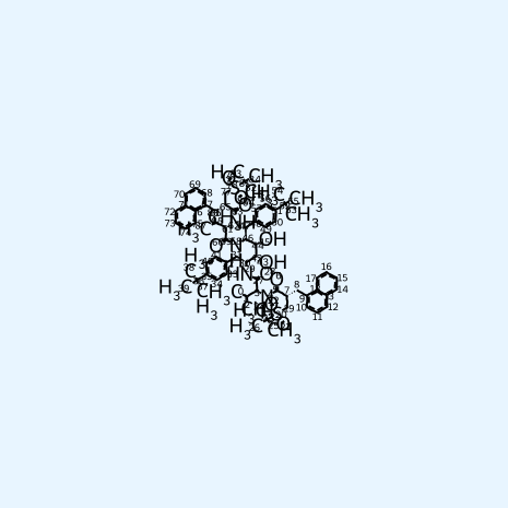 CC(C)[C@H](NC(=O)[C@H](Cc1cccc2ccccc12)CS(=O)(=O)C(C)(C)C)C(=O)N[C@@H](Cc1ccc(C(C)(C)C)cc1)[C@@H](O)[C@H](O)[C@H](Cc1ccc(C(C)(C)C)cc1)NC(=O)[C@@H](NC(=O)[C@H](Cc1cccc2ccccc12)CS(=O)(=O)C(C)(C)C)C(C)C